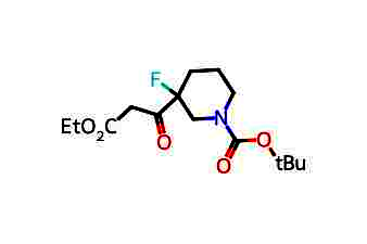 CCOC(=O)CC(=O)C1(F)CCCN(C(=O)OC(C)(C)C)C1